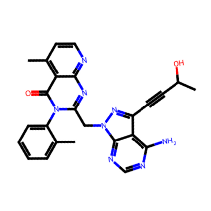 Cc1ccccc1-n1c(Cn2nc(C#CC(C)O)c3c(N)ncnc32)nc2nccc(C)c2c1=O